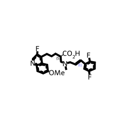 COc1ccc2ncc(F)c(CCC[C@@H](CN(C)C/C=C/c3cc(F)ccc3F)C(=O)O)c2c1